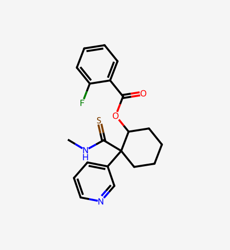 CNC(=S)C1(c2cccnc2)CCCCC1OC(=O)c1ccccc1F